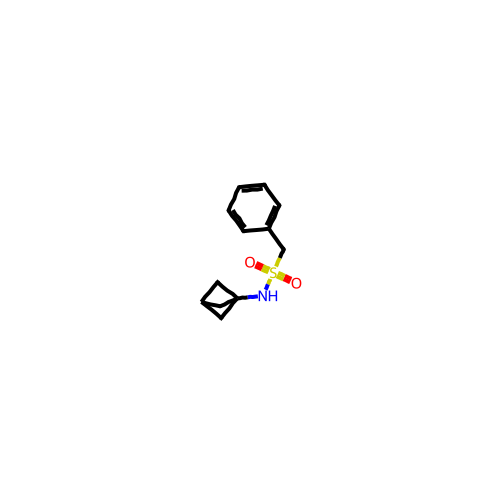 O=S(=O)(Cc1ccccc1)NC12CC(C1)C2